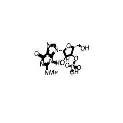 CNc1nc(=O)c2ncn([C@@H]3O[C@H](CO)[C@@H](OP(=O)(O)O)[C@H]3O)c2n1C